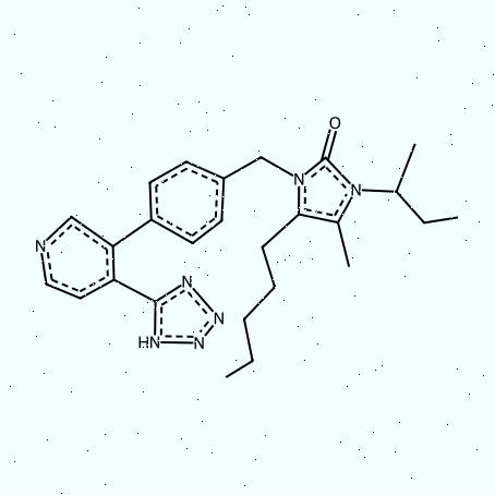 CCCCCc1c(C)n(C(C)CC)c(=O)n1Cc1ccc(-c2cnccc2-c2nnn[nH]2)cc1